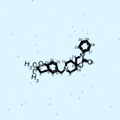 CC1(C)Cc2cc(CN3CCC4(CC3)CN(c3ccccc3)C(=O)O4)ccc2O1